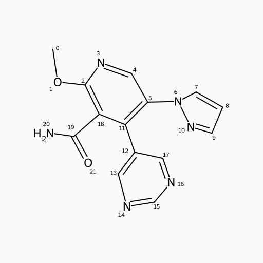 COc1ncc(-n2cccn2)c(-c2cncnc2)c1C(N)=O